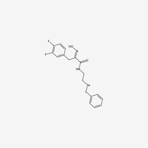 O=C(NCC[Se]Sc1ccccc1)/C(Cc1ccc(F)c(F)c1)=N/O